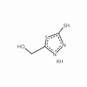 OCc1nnc(S)s1.[KH]